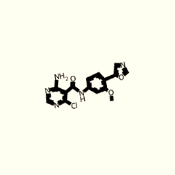 COc1cc(NC(=O)c2c(N)ncnc2Cl)ccc1-c1cnco1